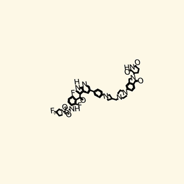 O=C1CCC(N2Cc3cc(N4CCN(CC5CN(c6ccc(-c7cnc8[nH]cc(C(=O)c9c(F)ccc(NS(=O)(=O)N%10CC[C@@H](F)C%10)c9F)c8c7)cc6)C5)CC4)ccc3C2=O)C(=O)N1